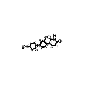 [CH2]C(C)C1CCN(c2ccc(N3CCC(=O)NC3=O)c(C)c2)CC1